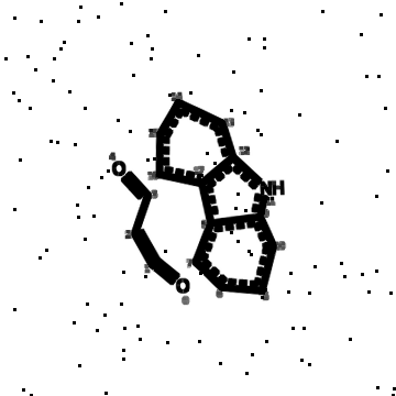 O=C=CC=O.c1ccc2c(c1)[nH]c1ccccc12